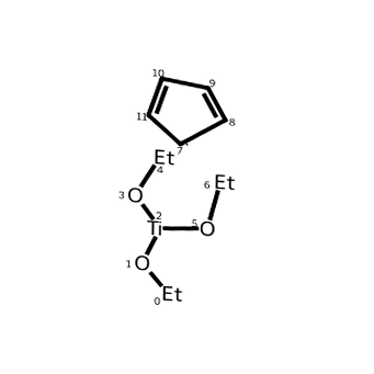 CC[O][Ti]([O]CC)[O]CC.[CH]1C=CC=C1